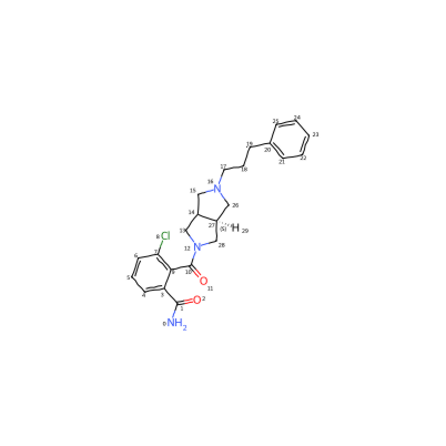 NC(=O)c1cccc(Cl)c1C(=O)N1CC2CN(CC[CH]c3ccccc3)C[C@H]2C1